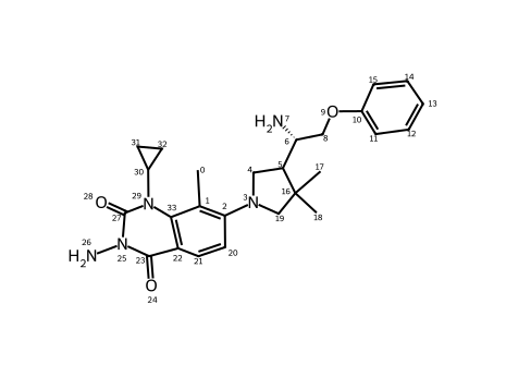 Cc1c(N2CC([C@H](N)COc3ccccc3)C(C)(C)C2)ccc2c(=O)n(N)c(=O)n(C3CC3)c12